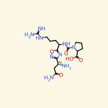 N=C(N)NCCCC(NC(=O)N1CCCC1C(=O)O)c1nc([C@@H](N)CC(N)=O)no1